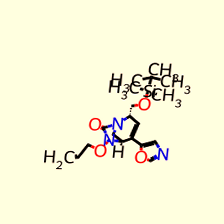 C=CCON1C(=O)N2C[C@H]1C(c1cnco1)=C[C@H]2CO[Si](C)(C)C(C)(C)C